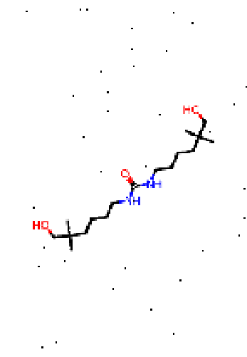 CC(C)(CO)CCCCNC(=O)NCCCCC(C)(C)CO